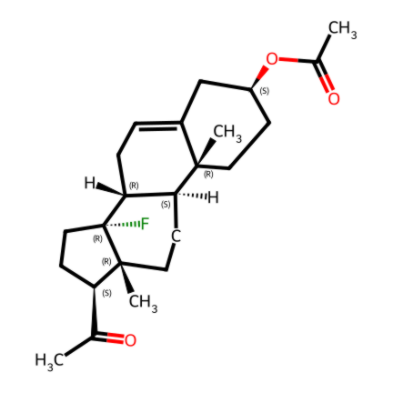 CC(=O)O[C@H]1CC[C@@]2(C)C(=CC[C@@H]3[C@@H]2CC[C@]2(C)[C@@H](C(C)=O)CC[C@@]32F)C1